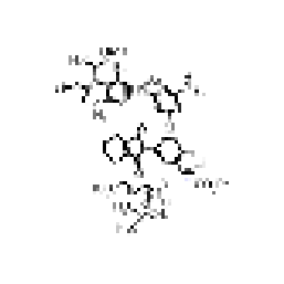 CCNc1nc(Cl)nc(NC(C)(C)C)n1.CCOC(=O)/C(Cl)=C/c1cc(N2C(=O)C3=C(CCCC3)C2=O)ccc1Cl.CCc1cccc(C)c1N(C(=O)CCl)C(C)COC.C[S+](C)C.O=C(O)CNCP(=O)([O-])O